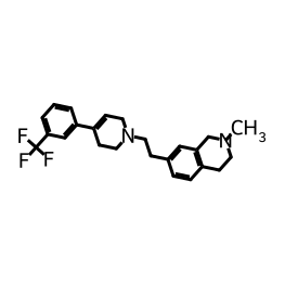 CN1CCc2ccc(CCN3CC=C(c4cccc(C(F)(F)F)c4)CC3)cc2C1